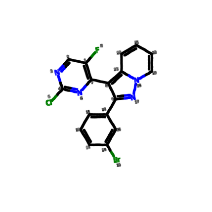 Fc1cnc(Cl)nc1-c1c(-c2cccc(Br)c2)nn2ccccc12